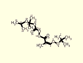 CC(=COOC(C)(C)C)C(=O)OOC(=O)OC(C)(C)OC(C)C